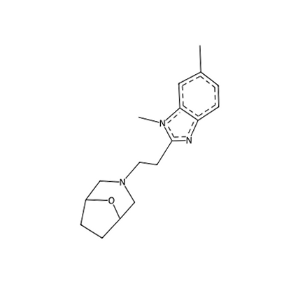 Cc1ccc2nc(CCN3CC4CCC(C3)O4)n(C)c2c1